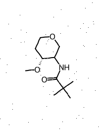 CO[C@@H]1CCOCC1NC(=O)C(C)(C)C